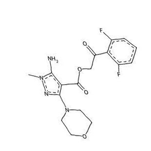 Cn1nc(N2CCOCC2)c(C(=O)OCC(=O)c2c(F)cccc2F)c1N